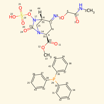 CNC(=O)CON=C1C[C@@H](C(=O)OC)N2C[C@@H]1N(OS(=O)(=O)O)C2=O.c1ccc(P(c2ccccc2)c2ccccc2)cc1